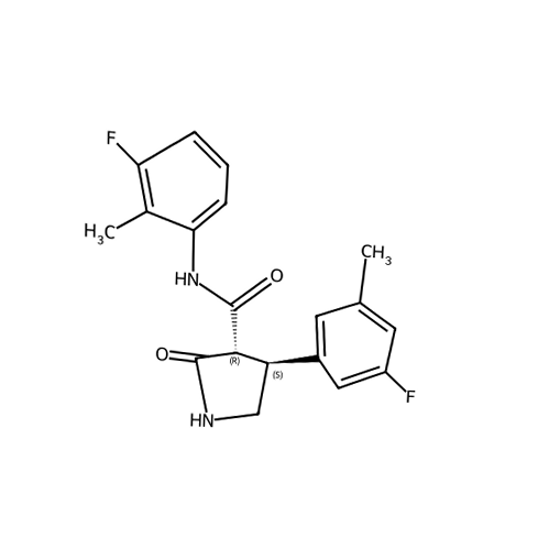 Cc1cc(F)cc([C@H]2CNC(=O)[C@@H]2C(=O)Nc2cccc(F)c2C)c1